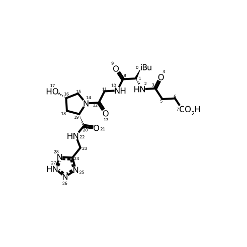 CC[C@H](C)[C@H](NC(=O)CCC(=O)O)C(=O)NCC(=O)N1C[C@@H](O)C[C@H]1C(=O)NCc1nn[nH]n1